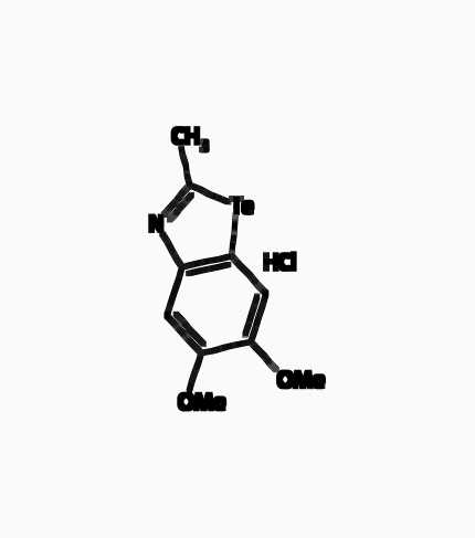 COc1cc2nc(C)[te]c2cc1OC.Cl